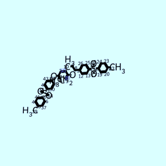 C=C(/C=C\C(=C/C)OC(CC)c1ccc(S(=O)(=O)c2ccc(C)cc2)cc1)Oc1ccc(S(=O)(=O)c2ccc(C)cc2)cc1